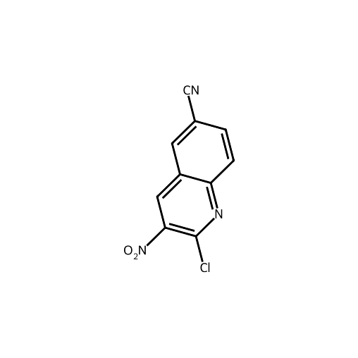 N#Cc1ccc2nc(Cl)c([N+](=O)[O-])cc2c1